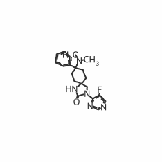 CN(C)C1(c2ccccc2)CCC2(CC1)CN(c1ncncc1F)C(=O)N2